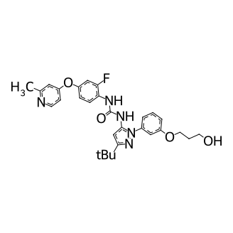 Cc1cc(Oc2ccc(NC(=O)Nc3cc(C(C)(C)C)nn3-c3cccc(OCCCO)c3)c(F)c2)ccn1